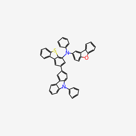 c1ccc(N(c2ccc3oc4ccccc4c3c2)c2cc(-c3ccc4c(c3)c3ccccc3n4-c3ccccc3)cc3c2sc2ccccc23)cc1